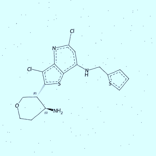 N[C@H]1CCOC[C@@H]1c1sc2c(NCc3cccs3)cc(Cl)nc2c1Cl